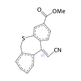 COC(=O)c1ccc2c(c1)SCc1ccccc1/C2=C/C#N